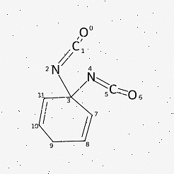 O=C=NC1(N=C=O)C=CCC=C1